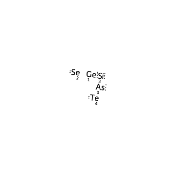 [As].[Ge].[Se].[Si].[Te]